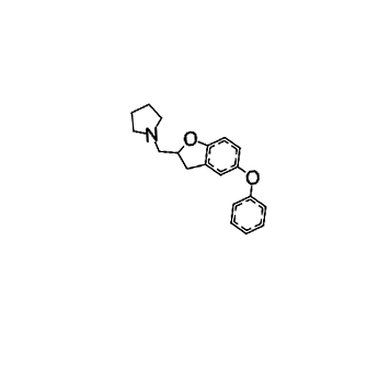 c1ccc(Oc2ccc3c(c2)CC(CN2CCCC2)O3)cc1